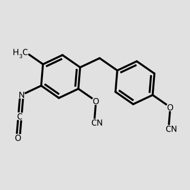 Cc1cc(Cc2ccc(OC#N)cc2)c(OC#N)cc1N=C=O